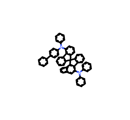 c1ccc(-c2ccc(N(c3ccccc3)c3cccc4c3-c3ccccc3C43c4ccccc4-c4c(N(c5ccccc5)c5ccccc5)cc5ccccc5c43)cc2)cc1